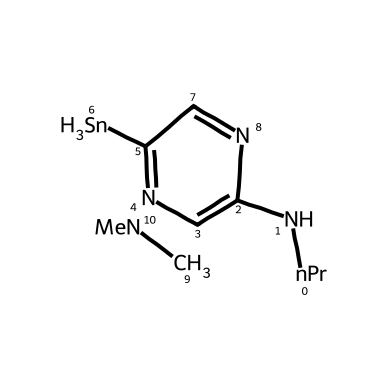 CCCNc1cn[c]([SnH3])cn1.CNC